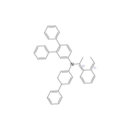 C/C=c1/cccc/c1=C(/C)N(C1=CCC(c2ccccc2)C=C1)c1ccc(-c2ccccc2)c(-c2ccccc2)c1